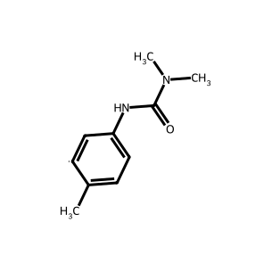 Cc1[c]cc(NC(=O)N(C)C)cc1